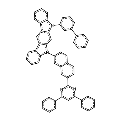 c1ccc(-c2cccc(-n3c4ccccc4c4cc5c6ccccc6n(-c6ccc7ccc(-c8nc(-c9ccccc9)cc(-c9ccccc9)n8)cc7c6)c5cc43)c2)cc1